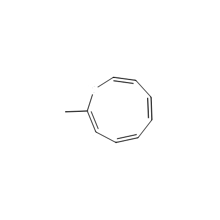 Cc1cccccccs1